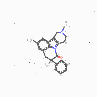 Cc1cc2c3c(c1)c1c(n3C(=O)C(C)(c3ccccc3)C2)CCN(C)C1